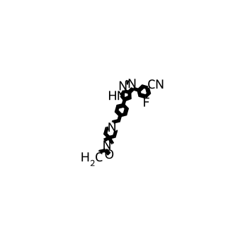 C=CC(=O)N1CC2(CCN(CCc3ccc(-c4cc5c(-c6cc(F)cc(C#N)c6)ncnc5[nH]4)cc3)CC2)C1